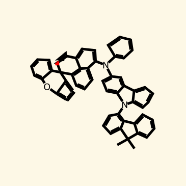 CC1(C)c2ccccc2-c2c(-n3c4ccccc4c4cc(N(c5ccccc5)c5ccc6c7c(cccc57)C5(c7ccccc7Oc7ccccc75)c5ccccc5-6)ccc43)cccc21